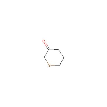 O=C1CCCSC1